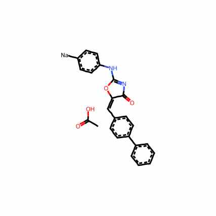 CC(=O)O.O=C1N=C(Nc2cc[c]([Na])cc2)O/C1=C/c1ccc(-c2ccccc2)cc1